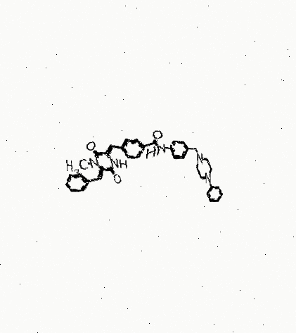 Cn1c(=O)/c(=C/c2ccc(C(=O)Nc3ccc(CN4CCN(c5ccccc5)CC4)cc3)cc2)[nH]c(=O)/c1=C/c1ccccc1